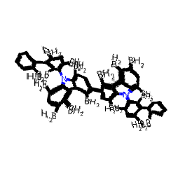 Bc1ccccc1-c1c(B)cc(B)c(-n2c3c(B)cc(B)c(B)c3c3c(B)c(-c4cc(B)c5c(c4B)c4c(B)c(B)cc(B)c4n5-c4c(B)cc(B)c(-c5ccccc5B)c4B)cc(B)c32)c1B